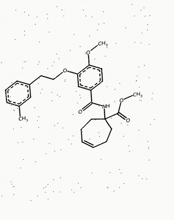 COC(=O)C1(NC(=O)c2ccc(OC)c(OCCc3cccc(C)c3)c2)CCC=CCC1